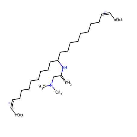 C=C(CN(C)C)NC(CCCCCCCC/C=C\CCCCCCCC)CCCCCCCC/C=C\CCCCCCCC